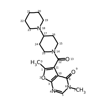 Cc1oc2ncn(C)c(=O)c2c1C(=O)N1CCC(N2CCCCC2)CC1